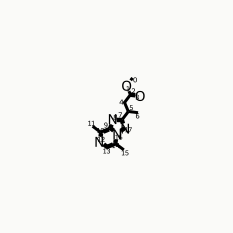 COC(=O)CC(C)c1nc2c(C)ncc(C)n2n1